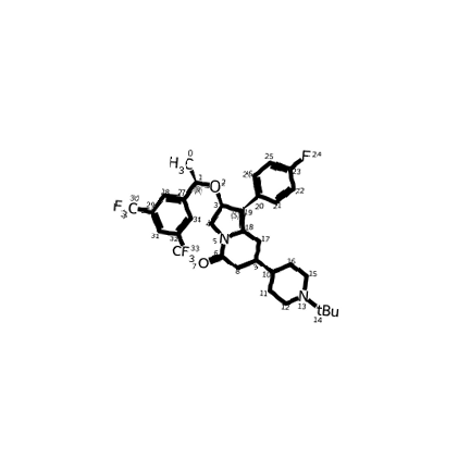 C[C@@H](OC1CN2C(=O)CC(C3CCN(C(C)(C)C)CC3)CC2[C@@H]1c1ccc(F)cc1)c1cc(C(F)(F)F)cc(C(F)(F)F)c1